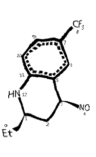 CC[C@@H]1C[C@H](N=O)c2cc(C(F)(F)F)ccc2N1